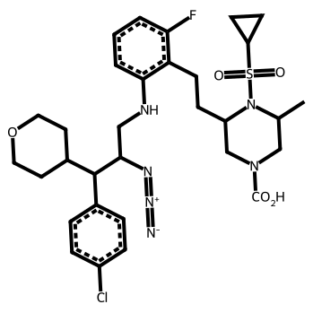 CC1CN(C(=O)O)CC(CCc2c(F)cccc2NCC(N=[N+]=[N-])C(c2ccc(Cl)cc2)C2CCOCC2)N1S(=O)(=O)C1CC1